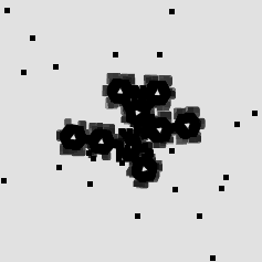 c1ccc(-c2ccc(-c3nc(-n4c5ccc(-c6ccccc6)cc5c5c6c7ccccc7n7c8ccccc8c(cc54)c67)c4sc5ccccc5c4n3)cc2)cc1